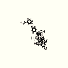 C[C@]12C=CC(=O)C=C1[C@@H](F)C[C@H]1[C@@H]3C[C@H]4O[C@@H](c5ccc(COc6cccc(N)c6)cc5)O[C@@]4(C(=O)CO)[C@@]3(C)C[C@H](O)[C@@]12F